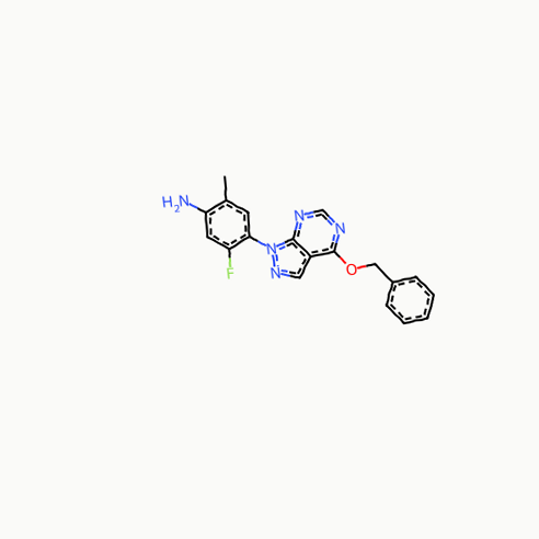 Cc1cc(-n2ncc3c(OCc4ccccc4)ncnc32)c(F)cc1N